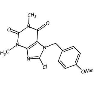 COc1ccc(Cn2c(Cl)nc3c2c(=O)n(C)c(=O)n3C)cc1